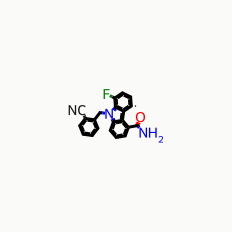 N#Cc1ccccc1Cn1c2cccc(C(N)=O)c2c2[c]ccc(F)c21